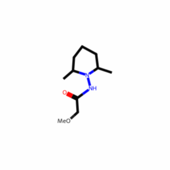 COCC(=O)NN1C(C)CCCC1C